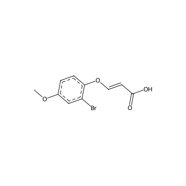 COc1ccc(OC=CC(=O)O)c(Br)c1